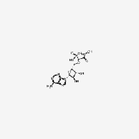 Nc1ncnc2c1ncn2[C@@H]1O[C@H](COC(C(=O)NO)P(=O)(O)O)[C@@H](O)[C@H]1O